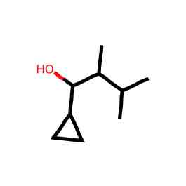 CC(C)C(C)C(O)C1CC1